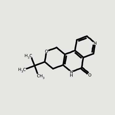 CC(C)(C)C1Cc2[nH]c(=O)c3cnccc3c2CO1